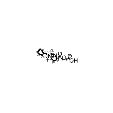 O=C(O)CONC(=O)[C@@H]1CC[C@@H]2CN1C(=O)N2OCc1ccccc1